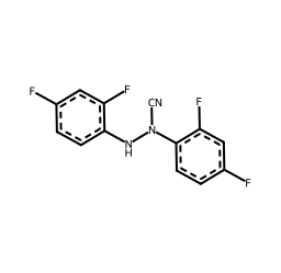 N#CN(Nc1ccc(F)cc1F)c1ccc(F)cc1F